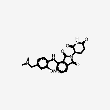 COc1cc(CN(C)C)ccc1Nc1cccc2c1C(=O)N(C1CCC(=O)NC1=O)C2=O